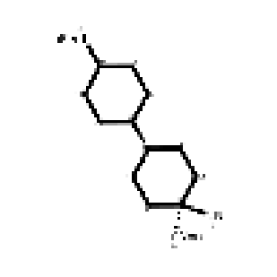 CCCCCCCCC[C@]1(C#N)CC[C@@H](C2CCC(CCCCC)CC2)CC1